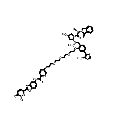 Cc1ncsc1-c1ccc(CN(C=O)[C@@H]2C[C@@H](O)CN2C(=O)[C@H](C(C)C)N2Cc3ccccc3C2=O)c(OCCOCCOCCOCCOc2ccc(C(=O)Nc3ccc4oc(-c5ccc(=O)n(C)n5)nc4c3)nc2)c1